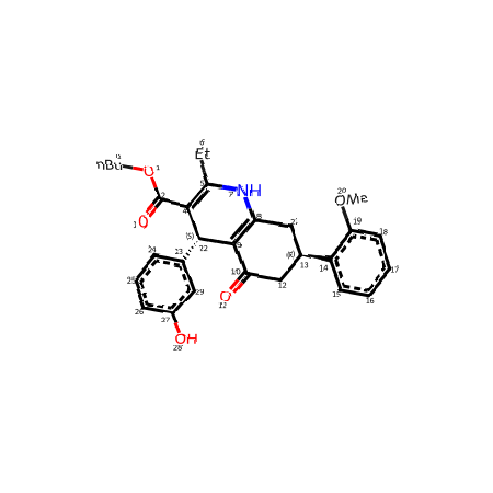 CCCCOC(=O)C1=C(CC)NC2=C(C(=O)C[C@H](c3ccccc3OC)C2)[C@@H]1c1cccc(O)c1